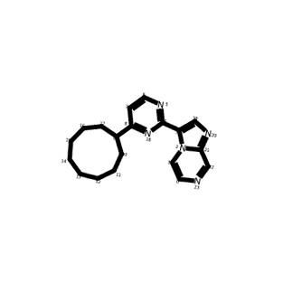 c1cn2c(-c3nccc(C4CCCCCCCC4)n3)cnc2cn1